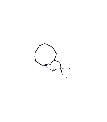 CC(C)(C)[Si](C)(C)OC1/C=C\CCCCCCC1